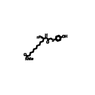 CCCC(CCCCCCCCCC(=O)NC)NC(=O)CSc1ccc(O)cc1